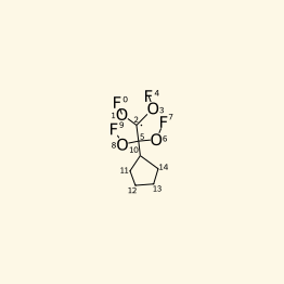 FO[C](OF)C(OF)(OF)C1CCCC1